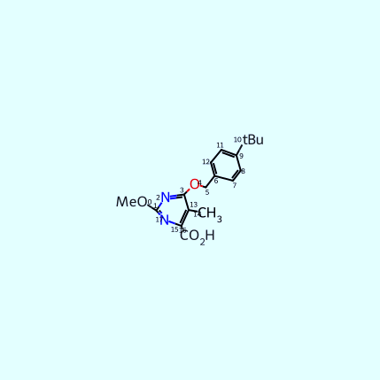 COc1nc(OCc2ccc(C(C)(C)C)cc2)c(C)c(C(=O)O)n1